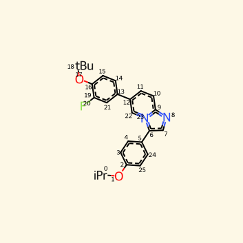 CC(C)Oc1ccc(-c2cnc3ccc(-c4ccc(OC(C)(C)C)c(F)c4)cn23)cc1